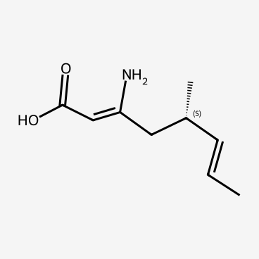 CC=C[C@@H](C)CC(N)=CC(=O)O